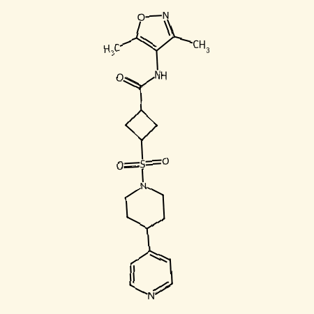 Cc1noc(C)c1NC(=O)C1CC(S(=O)(=O)N2CCC(c3ccncc3)CC2)C1